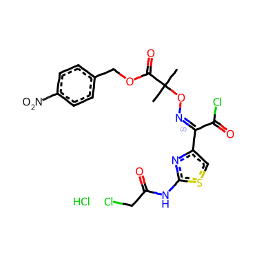 CC(C)(O/N=C(\C(=O)Cl)c1csc(NC(=O)CCl)n1)C(=O)OCc1ccc([N+](=O)[O-])cc1.Cl